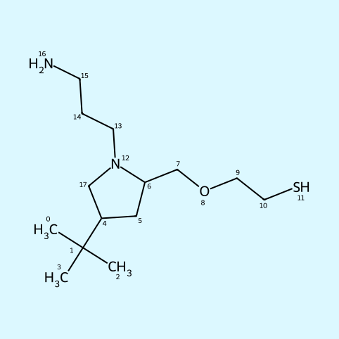 CC(C)(C)C1CC(COCCS)N(CCCN)C1